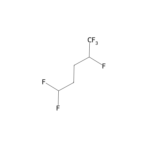 FC(F)CCC(F)C(F)(F)F